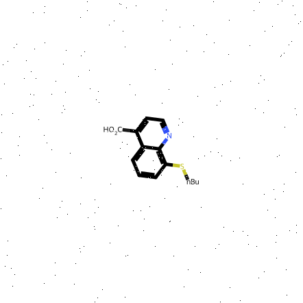 CCCCSc1cccc2c(C(=O)O)ccnc12